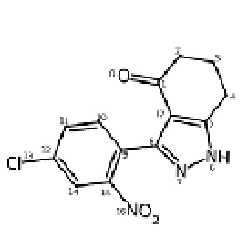 O=C1CCCc2[nH]nc(-c3ccc(Cl)cc3[N+](=O)[O-])c21